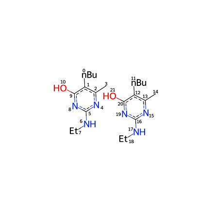 CCCCc1c(C)nc(NCC)nc1O.CCCCc1c(C)nc(NCC)nc1O